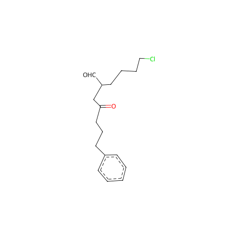 O=CC(CCCCCl)CC(=O)CCCc1ccccc1